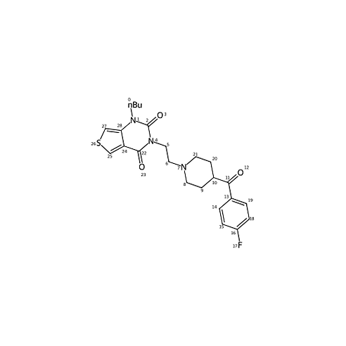 CCCCn1c(=O)n(CCN2CCC(C(=O)c3ccc(F)cc3)CC2)c(=O)c2cscc21